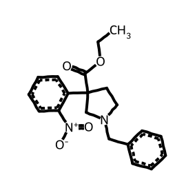 CCOC(=O)C1(c2ccccc2[N+](=O)[O-])CCN(Cc2ccccc2)C1